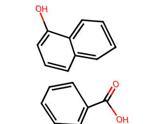 O=C(O)c1ccccc1.Oc1cccc2ccccc12